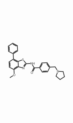 COc1ccc(-c2ccccc2)c2sc(NC(=O)c3ccc(CN4CCCC4)cc3)nc12